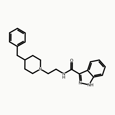 O=C(NCCN1CCC(Cc2ccccc2)CC1)c1n[nH]c2ccccc12